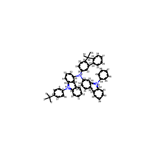 CC(C)(C)c1ccc(-n2c3ccccc3c3c(N(c4ccc5c(c4)-c4ccccc4C5(C)C)c4ccc5c6ccccc6n(-c6ccccc6)c5c4)cccc32)cc1